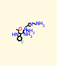 CC(=O)c1[nH]c2ccc(F)cc2c1/C(N)=C/N(N)CC1CN(CCN)C1